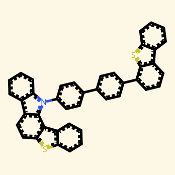 c1ccc2c(c1)sc1c(-c3ccc(-c4ccc(-n5c6ccccc6c6ccc7sc8ccccc8c7c65)cc4)cc3)cccc12